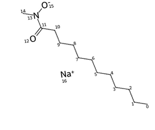 CCCCCCCCCCCC(=O)N(C)[O-].[Na+]